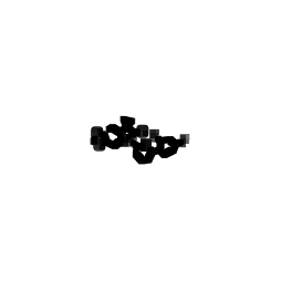 C/C=C(\C=C/C1=COCO1)C1(C(=O)Nc2cccc(-c3ccc(F)cc3F)n2)CC1